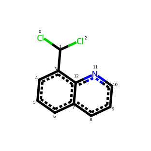 ClC(Cl)c1cccc2cccnc12